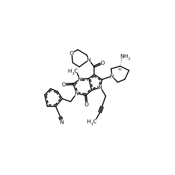 CC#CCn1c(N2CCC[C@@H](N)C2)c(C(=O)N2CCOCC2)c2c1c(=O)n(Cc1ccccc1C#N)c(=O)n2C